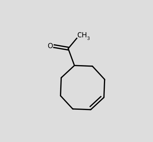 CC(=O)C1CCC=CCCC1